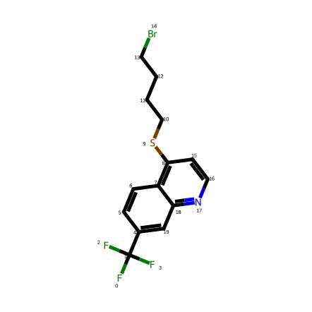 FC(F)(F)c1ccc2c(SCCCCBr)ccnc2c1